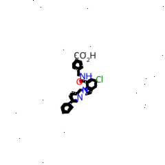 O=C(NCc1ccc(C(=O)O)cc1)C1=CC(Cl)Cc2ccn(Cc3ccc(-c4ccccc4)cn3)c21